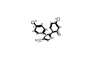 Cc1cnc(-c2ccc(Cl)cc2Cl)n1-c1ccc(Cl)cc1